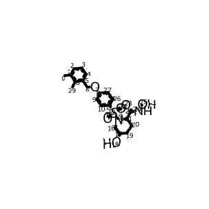 Cc1cccc(COc2ccc(S(=O)(=O)N3CC(O)CCC3C(=O)NO)cc2)c1C